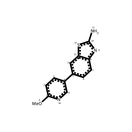 COc1[c]cc(-c2ccc3nc(N)sc3c2)cn1